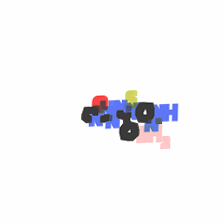 Bc1cccc(C2/C(=N/CCN3CCCC3=O)NC(=S)N2c2ccc3[nH]cnc3c2)c1